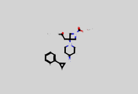 COC(=O)CC1(N2CCC(N[C@@H]3CC3c3ccccc3)CC2)CN(C(=O)OC(C)(C)C)C1